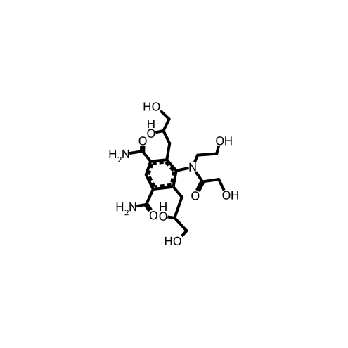 NC(=O)c1cc(C(N)=O)c(CC(O)CO)c(N(CCO)C(=O)CO)c1CC(O)CO